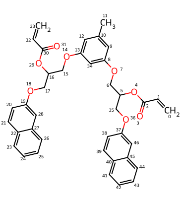 C=CC(=O)OC(COc1cc(C)cc(OCC(COc2ccc3ccccc3c2)OC(=O)C=C)c1)COc1ccc2ccccc2c1